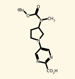 CN(C(=O)OC(C)(C)C)C1CCN(c2cnc(C(=O)O)nc2)C1